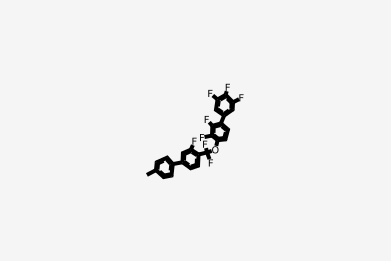 Cc1ccc(-c2ccc(C(F)(F)Oc3ccc(-c4cc(F)c(F)c(F)c4)c(F)c3F)c(F)c2)cc1